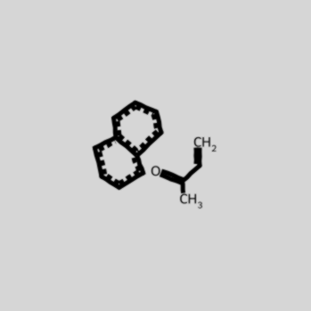 C=CC(C)=O.c1ccc2ccccc2c1